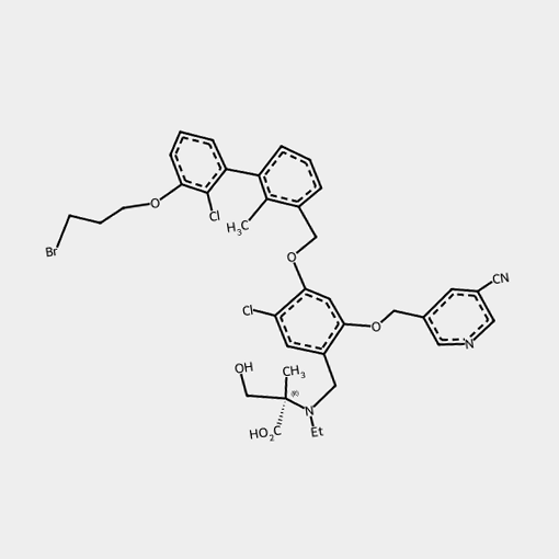 CCN(Cc1cc(Cl)c(OCc2cccc(-c3cccc(OCCCBr)c3Cl)c2C)cc1OCc1cncc(C#N)c1)[C@](C)(CO)C(=O)O